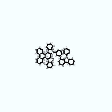 c1ccc(-n2c3ccccc3c3cccc(-c4cccc(-n5c6ccccc6c6c7c8ccccc8c8ccccc8c7c7c8ccccc8oc7c65)c4)c32)cc1